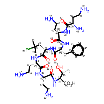 C[C@@H](O)[C@H](NC(=O)[C@H](CCN)NC(=O)[C@H](CCN)NC(=O)[C@H](CC(C)(C)F)NC(=O)[C@@H](Cc1ccccc1)NC(=O)[C@H](CCN)NC(=O)[C@@H](N)CCN)C(=O)O